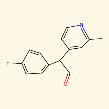 Cc1cc(C(C=O)c2ccc(F)cc2)ccn1